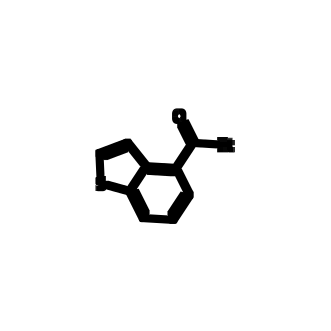 CCC(=O)c1cccc2sccc12